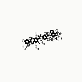 COC1=CC(=O)C=C(C)C1(O)C(=O)Oc1c(C)c(C)c(C(=O)Oc2cc(C)c(C(=O)Oc3c(C)c(C)c(C(=O)O)c4c3CCC4)c(C)c2C)c(O)c1Br